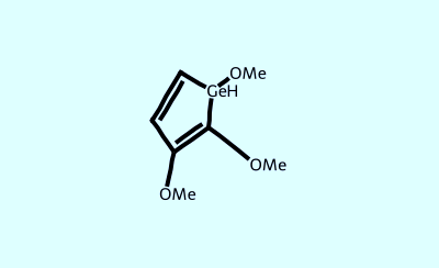 COC1=[C](OC)[GeH]([O]C)[CH]=C1